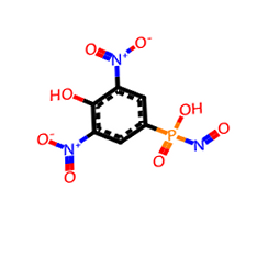 O=NP(=O)(O)c1cc([N+](=O)[O-])c(O)c([N+](=O)[O-])c1